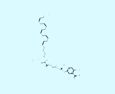 CC/C=C\C/C=C\C/C=C\C/C=C\C/C=C\CCCCSC(CC)C(=O)NCCOC(=O)Nc1ccc(O)c(C(=O)O)c1